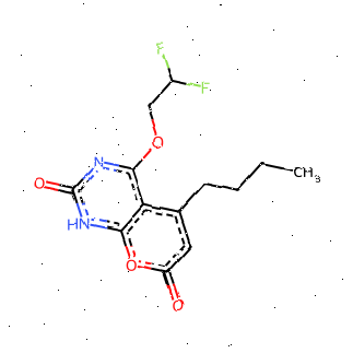 CCCCc1cc(=O)oc2[nH]c(=O)nc(OCC(F)F)c12